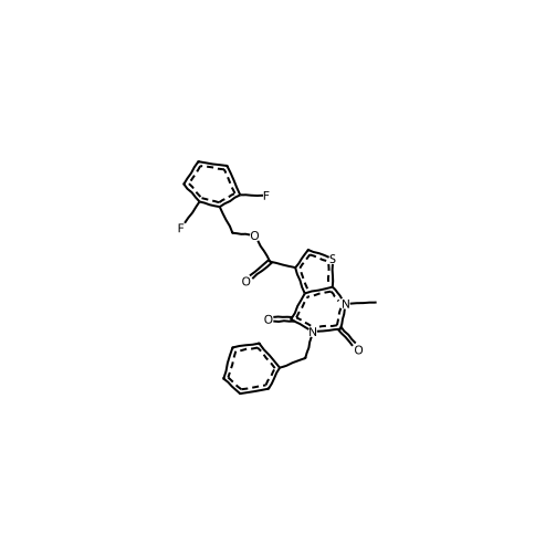 Cn1c(=O)n(Cc2ccccc2)c(=O)c2c(C(=O)OCc3c(F)cccc3F)csc21